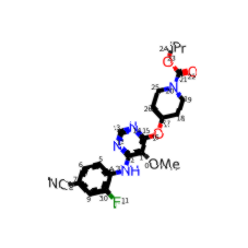 COc1c(Nc2ccc(C#N)cc2F)ncnc1OC1CCN(C(=O)OC(C)C)CC1